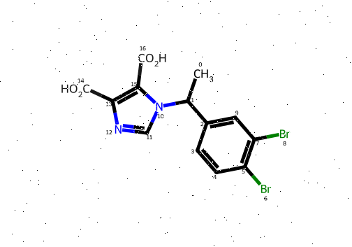 CC(c1ccc(Br)c(Br)c1)n1cnc(C(=O)O)c1C(=O)O